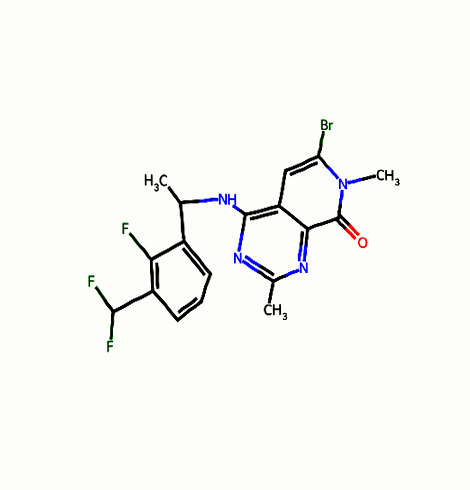 Cc1nc(NC(C)c2cccc(C(F)F)c2F)c2cc(Br)n(C)c(=O)c2n1